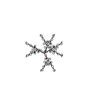 O=C(CCOCC(COCCC(=O)NC(COC(=O)NCCOCCOF)COC(=O)NCCOCCOF)(COCCC(=O)NC(COC(=O)NCCOCCOF)COC(=O)NCCOCCOF)COCCC(=O)NC(COC(=O)NCCOCCOF)COC(=O)NCCOCCOF)NC(COC(=O)NCCOCCOF)COC(=O)NCCOCCOF